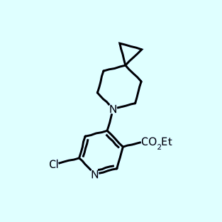 CCOC(=O)c1cnc(Cl)cc1N1CCC2(CC1)CC2